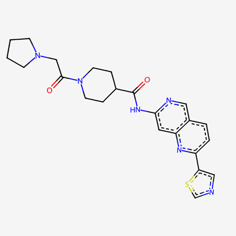 O=C(Nc1cc2nc(-c3cncs3)ccc2cn1)C1CCN(C(=O)CN2CCCC2)CC1